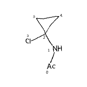 CC(=O)NC1(Cl)CC1